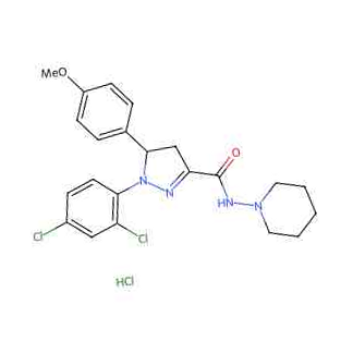 COc1ccc(C2CC(C(=O)NN3CCCCC3)=NN2c2ccc(Cl)cc2Cl)cc1.Cl